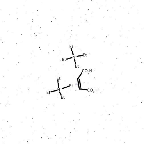 CC[N+](CC)(CC)CC.CC[N+](CC)(CC)CC.O=C(O)/C=C\C(=O)O